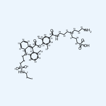 CCCNS(=O)(=O)CCC/N=C1\C=CC=C\C1=C(/C(=O)Oc1c(C)cc(C(=O)NCCCN(CCCN)CCCS(=O)(=O)O)cc1C)c1ccccc1C